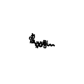 CCCCCNC(=O)N(S)c1ccc2ncc(-c3cnn(C(=O)OC(C)(C)C)c3)nc2n1